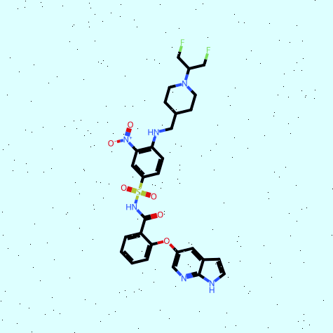 O=C(NS(=O)(=O)c1ccc(NCC2CCN(C(CF)CF)CC2)c([N+](=O)[O-])c1)c1ccccc1Oc1cnc2[nH]ccc2c1